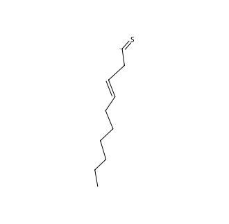 CCCCCCC=CC[C]=S